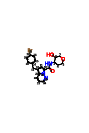 O=C(NC1CCOCC1O)c1cc(Cc2ccc(Br)cc2)c2cccnn12